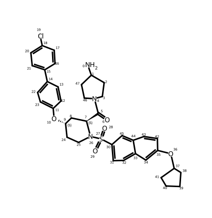 NC1CCN(C(=O)[C@@H]2C[C@@H](Oc3ccc(-c4ccc(Cl)cc4)cc3)CCN2S(=O)(=O)c2ccc3cc(OC4CCCC4)ccc3c2)CC1